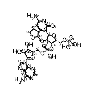 Nc1ccn([C@@H]2O[C@H](COP(=O)(O)O)[C@@H](OP(=O)(O)OC[C@H]3O[C@@H](n4cnc5c(N)ncnc54)[C@H](O)[C@@H]3O)[C@H]2OC2CCCO2)c(=O)n1